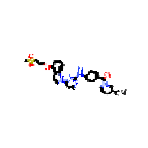 CS(=O)(=O)CCCOc1cccc2c1ccn2-c1ccnc(NC2CCC(C(=O)N3CCCC(C#N)C3)CC2)n1